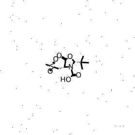 CC(C)(C)[C@H]1OC(=O)[C@@H](CS(C)(=O)=O)N1C(=O)O